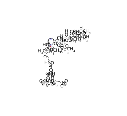 COc1c(C)c(OC2OC(C)C(O)C(OC)C2O)c(I)c(C)c1C(=O)SC1C(O)CC(ONC2C(C)OC(O[C@H]3C#C/C=C\C#C[C@]4(O)CC(=O)C(CC(C)=O)=C3/C4=C/CSSC(C)(C)CCC(=O)CCCNC(=O)OCc3ccc(NC(=O)[C@H](CCCNC(N)=O)CC(=O)[C@@H](NC(=O)CCCCCN4C(=O)C=CC4=O)C(C)C)cc3)C(OC3CC(C)C(CC(C)=O)CO3)C2O)OC1C